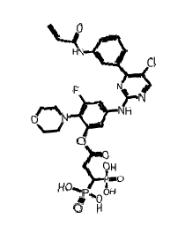 C=CC(=O)Nc1cccc(-c2nc(Nc3cc(F)c(N4CCOCC4)c(OC(=O)CC(P(=O)(O)O)P(=O)(O)O)c3)ncc2Cl)c1